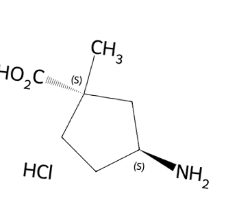 C[C@]1(C(=O)O)CC[C@H](N)C1.Cl